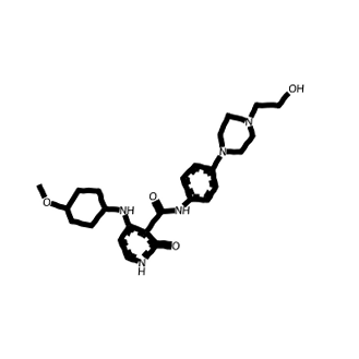 COC1CCC(Nc2cc[nH]c(=O)c2C(=O)Nc2ccc(N3CCN(CCO)CC3)cc2)CC1